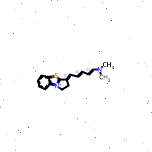 CN(C)/C=C/C=C/C=C1\CC[n+]2c1sc1ccccc12